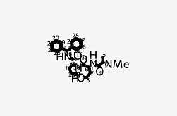 CN[C@@H](C)C(=O)N[C@H]1CCO[C@H]2CC[C@H](C(=O)NC(c3ccccc3)c3ccccc3)N2C1=O